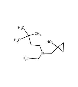 CCN(CCC(C)(C)C)CC1(O)CC1